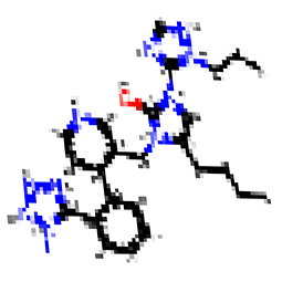 CCCCc1cn(-c2ncnn2CCC)c(=O)n1Cc1cnccc1-c1ccccc1-c1nnn[nH]1